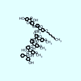 CCCCCCCCOc1ccc(C(=O)c2ccccc2)c(O)c1.COc1ccc(C(=O)c2ccc(OC)cc2O)c(O)c1.COc1ccc(C(=O)c2ccccc2)c(O)c1.COc1ccc(C(=O)c2ccccc2O)c(O)c1.O=C(c1ccc(O)cc1O)c1ccc(O)cc1O.O=C(c1ccccc1)c1ccc(O)cc1O